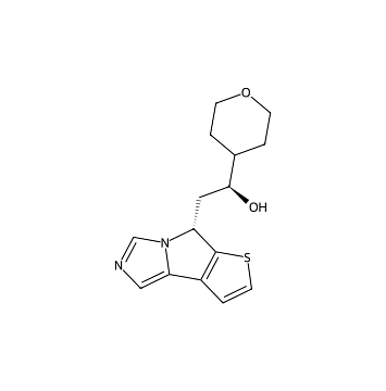 O[C@@H](C[C@@H]1c2sccc2-c2cncn21)C1CCOCC1